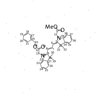 COC(=O)CN1/C(=C/C=C/C2=[N+](CC(=O)OCc3ccccc3)c3ccccc3C2(C)C)C(C)(C)c2ccccc21